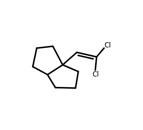 ClC(Cl)=CC12CCCC1CCC2